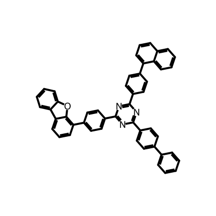 c1ccc(-c2ccc(-c3nc(-c4ccc(-c5cccc6ccccc56)cc4)nc(-c4ccc(-c5cccc6c5oc5ccccc56)cc4)n3)cc2)cc1